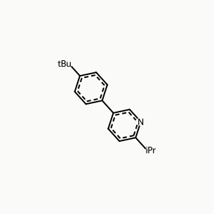 CC(C)c1ccc(-c2ccc(C(C)(C)C)cc2)cn1